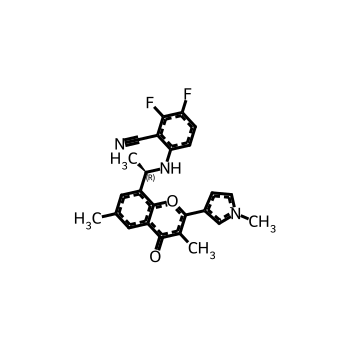 Cc1cc([C@@H](C)Nc2ccc(F)c(F)c2C#N)c2oc(-c3ccn(C)c3)c(C)c(=O)c2c1